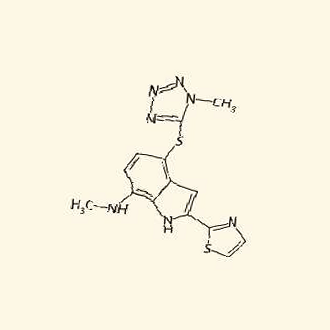 CNc1ccc(Sc2nnnn2C)c2cc(-c3nccs3)[nH]c12